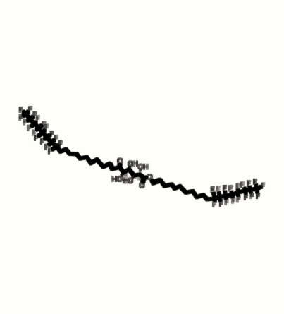 O=C(OC=CCCCCCCCCCC(F)(F)C(F)(F)C(F)(F)C(F)(F)C(F)(F)C(F)(F)C(F)(F)C(F)(F)F)[C@@H](O)[C@H](O)[C@H](O)[C@@H](O)C(=O)C=CCCCCCCCCCC(F)(F)C(F)(F)C(F)(F)C(F)(F)C(F)(F)C(F)(F)C(F)(F)C(F)(F)F